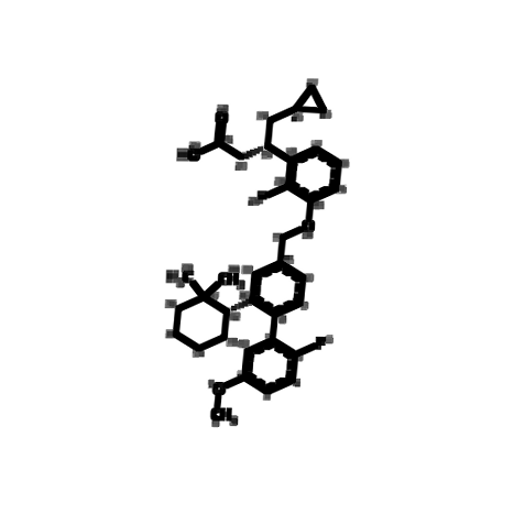 COc1ccc(F)c(-c2ccc(COc3cccc([C@H](CC(=O)O)CC4CC4)c3F)cc2[C@@H]2CCCCC2(C)C)c1